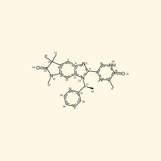 Cc1nc(-c2nc3cc4c(cc3n2[C@@H](C)c2ccccc2)N(C)C(=O)C4(C)C)c[nH]c1=O